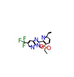 C=Cc1ccc(S(=O)(=O)CC)c(-c2nc3cc(C(F)(F)F)cnc3n2C)n1